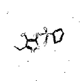 CCc1noc(NS(=O)(=O)c2ccccc2)c1Cl